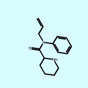 C=CCN(C(=O)C1CCCCN1)c1ccccc1